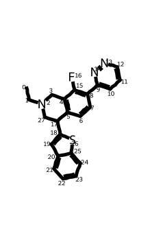 CCN1Cc2c(ccc(-c3cccnn3)c2F)C(c2cc3ccccc3s2)C1